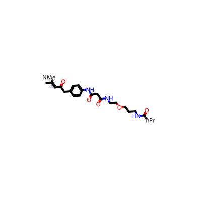 CCCC(=O)NCCCOCCNC(=O)CC(=O)Nc1ccc(CC(=O)/C=C(/C)NC)cc1